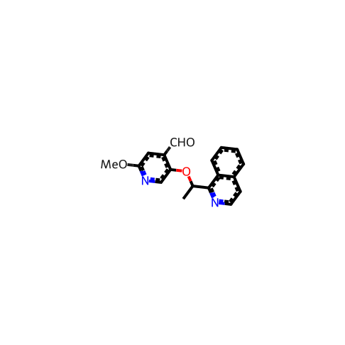 COc1cc(C=O)c(OC(C)c2nccc3ccccc23)cn1